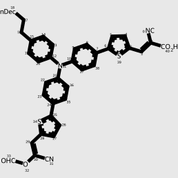 [C-]#[N+]/C(=C\c1ccc(-c2ccc(N(c3ccc(CCCCCCCCCCCC)cc3)c3ccc(-c4ccc(/C=C(\C#N)OC=O)s4)cc3)cc2)s1)C(=O)O